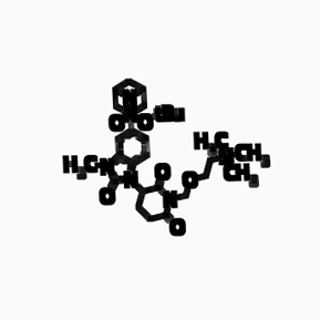 Cn1c(=O)n(C2CCC(=O)N(COCC[Si](C)(C)C)C2=O)c2ccc(N3CC4CC(C3)N4C(=O)OC(C)(C)C)cc21